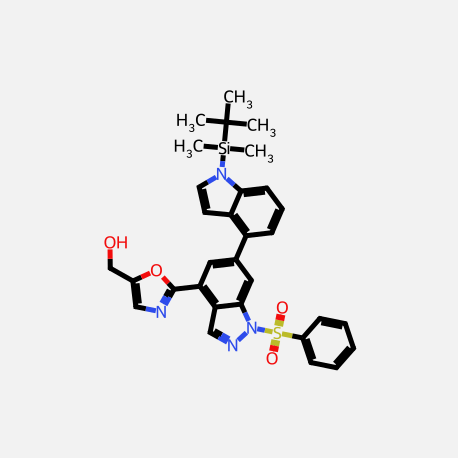 CC(C)(C)[Si](C)(C)n1ccc2c(-c3cc(-c4ncc(CO)o4)c4cnn(S(=O)(=O)c5ccccc5)c4c3)cccc21